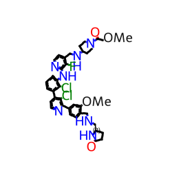 COCC(=O)N1CCC(NCc2ccnc(Nc3cccc(-c4ccnc(-c5ccc(CNC[C@H]6CCC(=O)N6)c(OC)c5)c4Cl)c3Cl)c2F)CC1